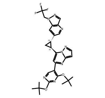 CC(C)(C)Oc1ncc(-c2cc([C@H]3C[C@@H]3c3cnc4cnn(CC(F)(F)F)c4c3)n3nccc3n2)c(OC(C)(C)C)n1